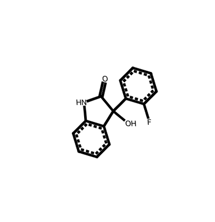 O=C1Nc2ccccc2C1(O)c1ccccc1F